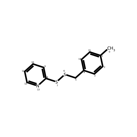 Cc1ccc(CSSc2ccccn2)cc1